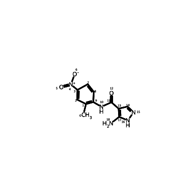 Cc1cc([N+](=O)[O-])ccc1NC(=O)c1cn[nH]c1N